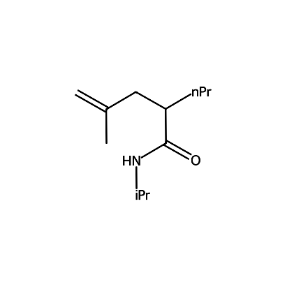 C=C(C)CC(CCC)C(=O)NC(C)C